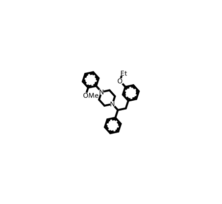 CCOc1cccc(CC(c2ccccc2)N2CCN(c3ccccc3OC)CC2)c1